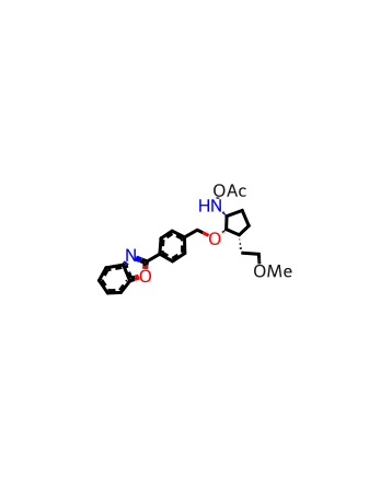 COCC[C@H]1CC[C@@H](NOC(C)=O)[C@H]1OCc1ccc(-c2nc3ccccc3o2)cc1